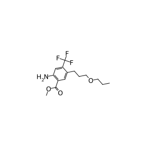 CCCOCCCc1cc(C(=O)OC)c(N)cc1C(F)(F)F